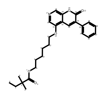 CCC(C)(C)C(=O)OCCCCCCOc1cncc2oc(=O)c(-c3ccccc3)cc12